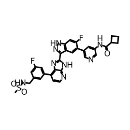 CS(=O)(=O)NCc1cc(F)cc(-c2ccnc3[nH]c(-c4n[nH]c5cc(F)c(-c6cncc(NC(=O)C7CCC7)c6)cc45)nc23)c1